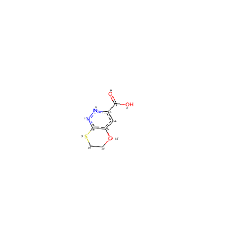 O=C(O)c1cc2c(nn1)SCCO2